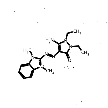 CCn1c(N)c(/N=N/c2n(C)c3ccccc3[n+]2C)c(=O)n1CC